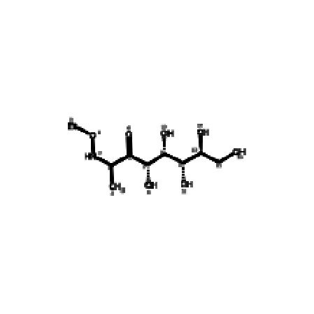 CCONC(C)C(=O)[C@@H](O)[C@H](O)[C@@H](O)[C@@H](O)CO